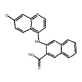 O=C(O)c1cc2ccccc2cc1Nc1ccnc2cc(Cl)ccc12